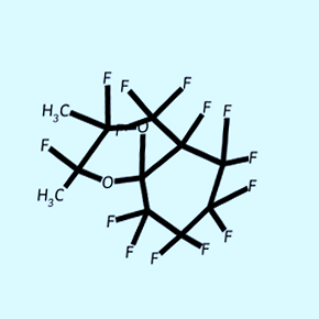 CC1(F)OC2(OC1(C)F)C(F)(F)C(F)(F)C(F)(F)C(F)(F)C2(F)C(F)(F)F